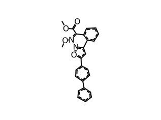 CO/N=C(\C(=O)OC)c1ccccc1-c1cc(-c2ccc(-c3ccccc3)cc2)on1